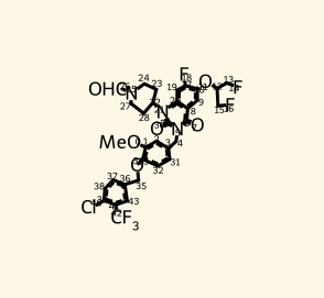 COc1cc(Cn2c(=O)c3cc(OC(CF)CF)c(F)cc3n(C3CCN(C=O)CC3)c2=O)ccc1OCc1ccc(Cl)c(C(F)(F)F)c1